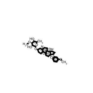 COc1cccc([C@H]2CC[C@]3(O)[C@@H]4CC[C@@H]5C[C@@H](O[C@@H]6O[C@@H](C)[C@H](O)[C@@H](OC)[C@@H]6O)CC[C@]5(C)[C@H]4CC[C@]23C)c1